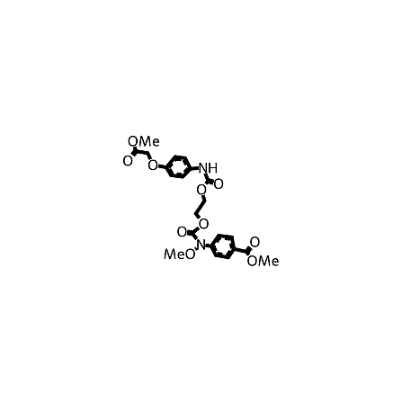 COC(=O)COc1ccc(NC(=O)OCCOC(=O)N(OC)c2ccc(C(=O)OC)cc2)cc1